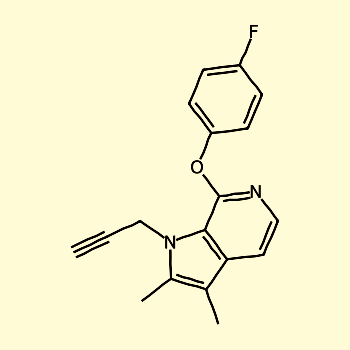 C#CCn1c(C)c(C)c2ccnc(Oc3ccc(F)cc3)c21